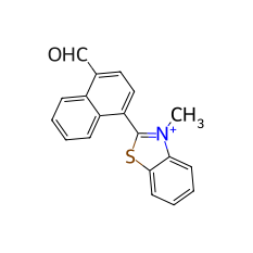 C[n+]1c(-c2ccc(C=O)c3ccccc23)sc2ccccc21